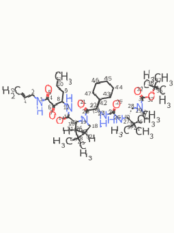 C=CCNC(=O)C(=O)C(CCC)NC(=O)[C@@H]1[C@@H]2[C@H](CN1C(=O)[C@@H](NC(=O)N[C@H](CN(C)C(=O)OC(C)(C)C)C(C)(C)C)C1CCCCC1)C2(C)C